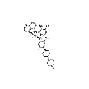 CCS(=O)(=O)Nc1c(Nc2nc(Nc3cc(C)c(N4CCC(N5CCN(C)CC5)CC4)cc3OC)ncc2Cl)ccc2nccnc12